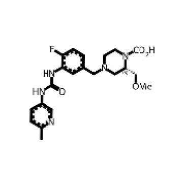 COC[C@@H]1CN(Cc2ccc(F)c(NC(=O)Nc3ccc(C)nc3)c2)CCN1C(=O)O